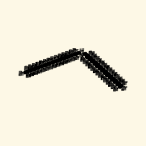 BrC(Br)(Br)C(Br)(Br)C(Br)(Br)C(Br)(Br)C(Br)(Br)C(Br)(Br)C(Br)(Br)C(Br)(Br)C(Br)(Br)C(Br)(Br)C(Br)(Br)C(Br)(Br)C(Br)(Br)C(Br)(Br)CNCC(Br)(Br)C(Br)(Br)C(Br)(Br)C(Br)(Br)C(Br)(Br)C(Br)(Br)C(Br)(Br)C(Br)(Br)C(Br)(Br)C(Br)(Br)C(Br)(Br)C(Br)(Br)C(Br)(Br)C(Br)(Br)Br